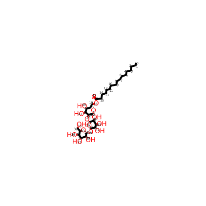 CCCCCCCCCCCCCCCCC(=O)OCC1OCC(O[C@@H]2OC(O[C@H]3OC(CO)[C@H](O)C(O)C3O)[C@H](O)C(O)C2O)C(O)[C@@H]1O